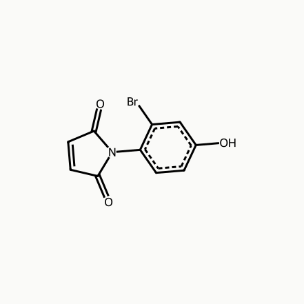 O=C1C=CC(=O)N1c1ccc(O)cc1Br